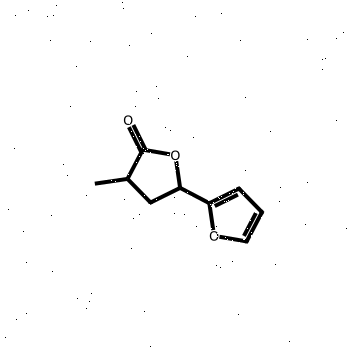 CC1CC(c2ccco2)OC1=O